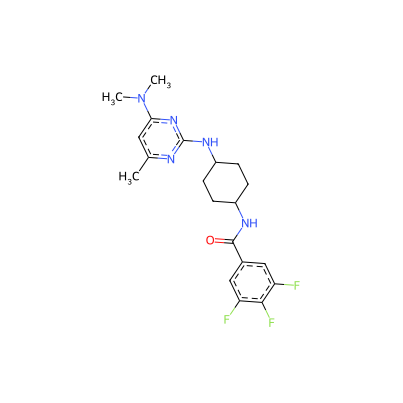 Cc1cc(N(C)C)nc(NC2CCC(NC(=O)c3cc(F)c(F)c(F)c3)CC2)n1